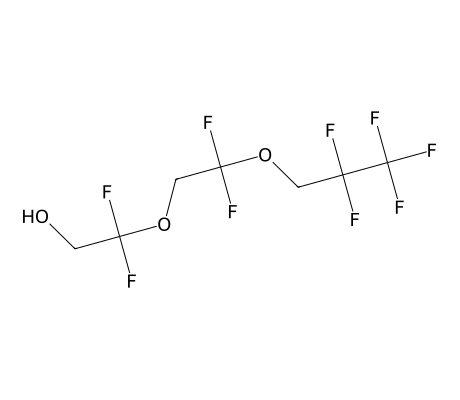 OCC(F)(F)OCC(F)(F)OCC(F)(F)C(F)(F)F